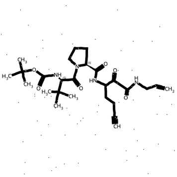 C#CCCC(NC(=O)[C@@H]1CCCN1C(=O)[C@@H](NC(=O)OC(C)(C)C)C(C)(C)C)C(=O)C(=O)NCC=C